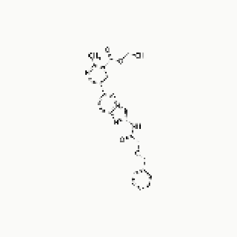 CCOC(=O)c1cc(-c2ccc3nc(NC(=O)COCc4ccccc4)cn3n2)cnc1C